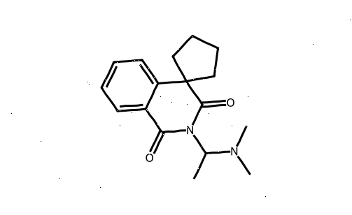 CC(N(C)C)N1C(=O)c2ccccc2C2(CCCC2)C1=O